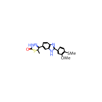 COc1cc(-c2nc3ccc(C4=NNC(=O)SC4C)cc3[nH]2)ccc1SC